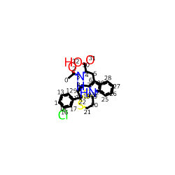 CC(=O)NC(Cc1c(C=CC2(c3cccc(Cl)c3)SCCCS2)[nH]c2ccccc12)C(=O)O